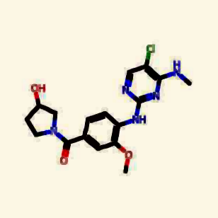 CNc1nc(Nc2ccc(C(=O)N3CCC(O)C3)cc2OC)ncc1Cl